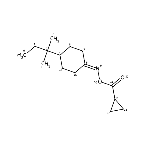 CCC(C)(C)C1CCC(=NOC(=O)C2CC2)CC1